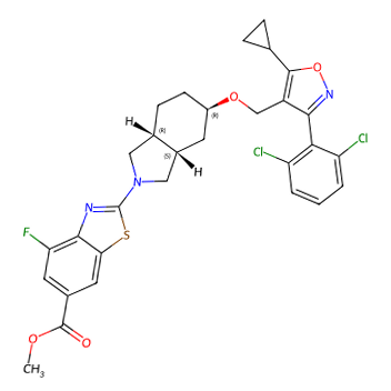 COC(=O)c1cc(F)c2nc(N3C[C@H]4C[C@H](OCc5c(-c6c(Cl)cccc6Cl)noc5C5CC5)CC[C@H]4C3)sc2c1